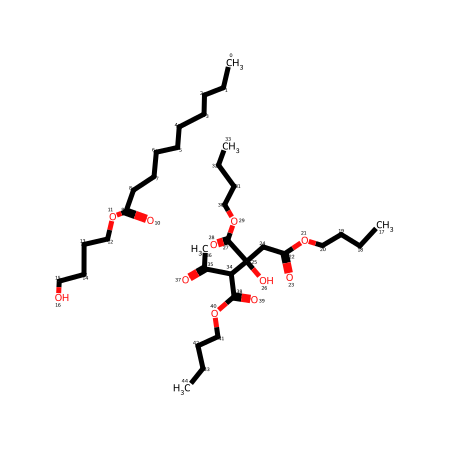 CCCCCCCCCC(=O)OCCCCO.CCCCOC(=O)CC(O)(C(=O)OCCCC)C(C(C)=O)C(=O)OCCCC